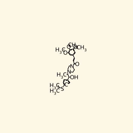 COc1cc(/C=C/C(=O)N2CCN(C(C)C(O)c3ccc(SC(C)C)cc3)CC2)cc(OC)c1OC